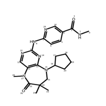 CNC(=O)c1ccc(Nc2ncc3c(n2)N(C2CCCC2)CC(C)(C)C(=O)N3C)nc1